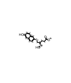 COC(=O)CC/C(CSc1ccc2cc(O)ccc2c1)=N/O